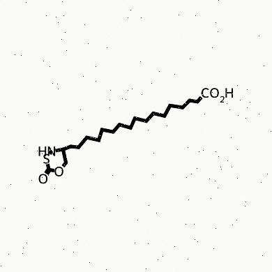 O=C(O)CCCCCCCCCCCCCCCCC1COC(=O)SN1